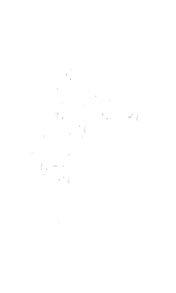 c1ccc(Nc2cc(-c3nc(N4CCNCC4)c4c(C5CCC5)cncc4n3)ccn2)cc1